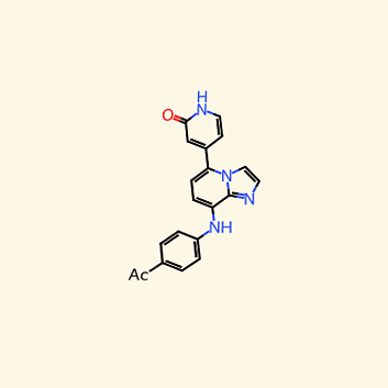 CC(=O)c1ccc(Nc2ccc(-c3cc[nH]c(=O)c3)n3ccnc23)cc1